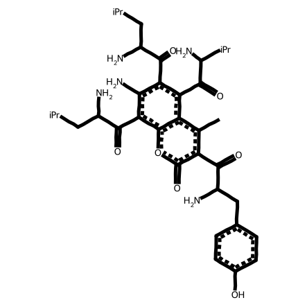 Cc1c(C(=O)C(N)Cc2ccc(O)cc2)c(=O)oc2c(C(=O)C(N)CC(C)C)c(N)c(C(=O)C(N)CC(C)C)c(C(=O)C(N)C(C)C)c12